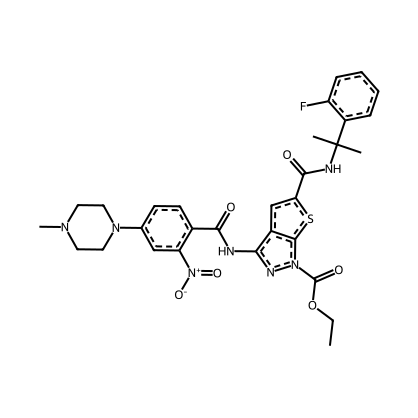 CCOC(=O)n1nc(NC(=O)c2ccc(N3CCN(C)CC3)cc2[N+](=O)[O-])c2cc(C(=O)NC(C)(C)c3ccccc3F)sc21